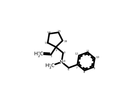 C=CC1(CN(C)Cc2ccccc2)CCCC1